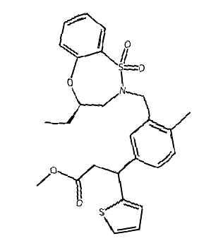 CC[C@@H]1CN(Cc2cc(C(CC(=O)OC)c3cccs3)ccc2C)S(=O)(=O)c2ccccc2O1